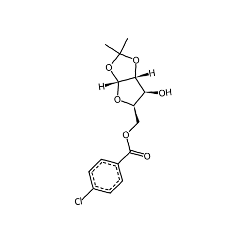 CC1(C)O[C@H]2O[C@H](COC(=O)c3ccc(Cl)cc3)[C@H](O)[C@H]2O1